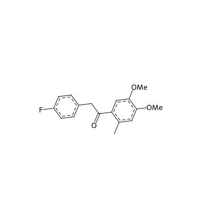 COc1cc(C)c(C(=O)Cc2ccc(F)cc2)cc1OC